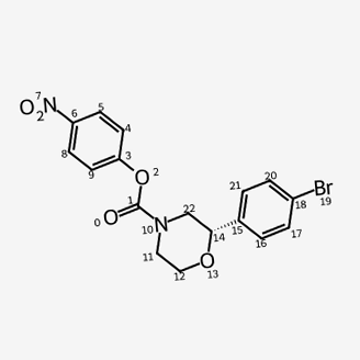 O=C(Oc1ccc([N+](=O)[O-])cc1)N1CCO[C@@H](c2ccc(Br)cc2)C1